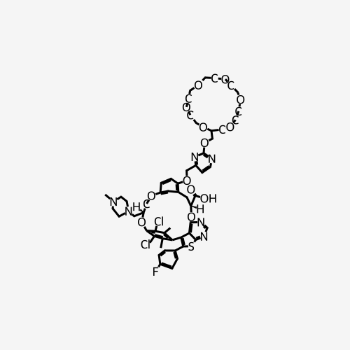 Cc1c(Cl)c2c(Cl)c(C)c1-c1c(-c3ccc(F)cc3)sc3ncnc(c13)O[C@@H](C(=O)O)Cc1cc(ccc1OCc1ccnc(OCC3COCCOCCOCCOCCOCCO3)n1)OC[C@@H](CN1CCN(C)CC1)O2